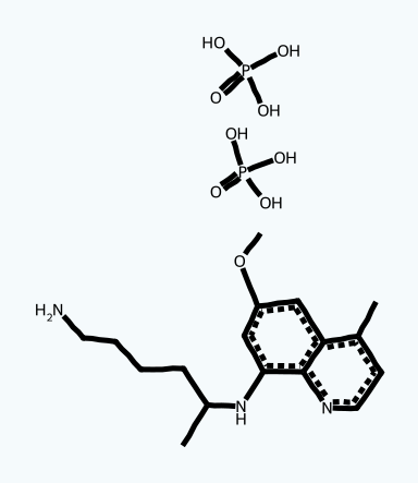 COc1cc(NC(C)CCCCN)c2nccc(C)c2c1.O=P(O)(O)O.O=P(O)(O)O